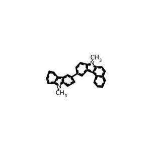 Cn1c2ccccc2c2cc(-c3ccc4c(c3)c3c5ccccc5ccc3n4C)ccc21